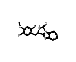 COc1cc(F)c(CC2NC(=O)n3c2nc2ccccc23)cc1F